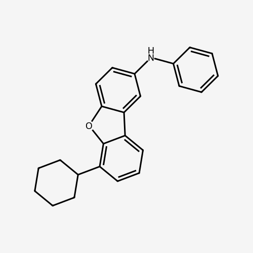 c1ccc(Nc2ccc3oc4c(C5CCCCC5)cccc4c3c2)cc1